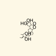 C/C=C(\C(C)C)[C@@H](O)[C@H](O)[C@@H](C)[C@H]1CCC2C3COC(=O)C4C[C@H](O)[C@H](O)C[C@]4(C)C3CC[C@@]21C